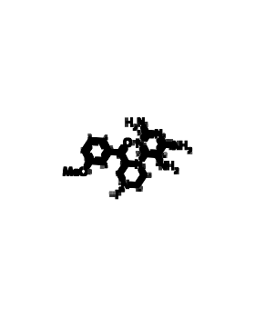 COc1cccc(C(=O)C2CN(F)CCN2c2nc(N)nc(N)c2N)c1